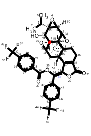 CC(C)[C@]12O[C@H]1[C@@H]1O[C@]13[C@]1(O[C@H]1C[C@H]1C4=C(CC[C@@]13C)C(=O)O/C4=C(/OC(=O)c1ccc(C(F)(F)F)cc1)c1ccc(C(F)(F)F)cc1)[C@@H]2O